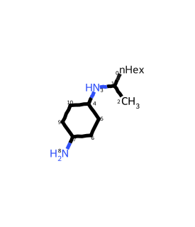 CCCCCCC(C)NC1CCC(N)CC1